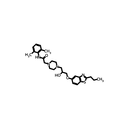 CCCc1nc2cc(OCC(O)CN3CCN(CC(=O)Nc4c(C)cccc4C)CC3)ccc2s1